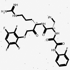 CC(C)C[C@H](NC(=O)C(=O)Nc1ccccc1F)C(=O)N[C@@H](CCCNC(=N)N)C(=O)COc1c(F)c(F)cc(F)c1F